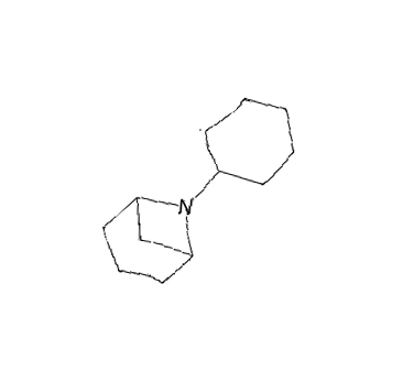 [CH]1CCCCC1N1C2CCCC1C2